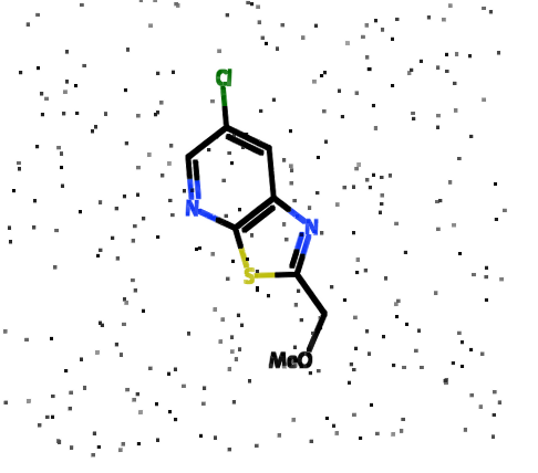 COCc1nc2cc(Cl)cnc2s1